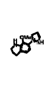 COc1c(N2CC=CN2)ccc2c1NCCC2